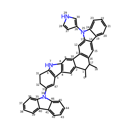 CC1c2cc3c4c([nH]c3cc2-c2cc3c(cc2C1C)c1ccccc1n3-c1cc[nH]c1)CCC(n1c2ccccc2c2ccccc21)=C4